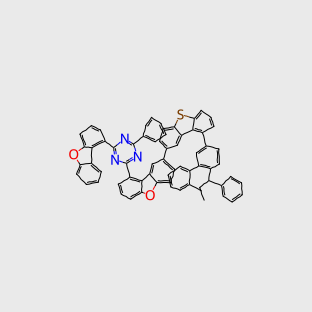 CCC(c1ccccc1)c1ccc(-c2cccc3sc4ccc(-c5ccc6oc7cccc(-c8nc(-c9ccccc9)nc(-c9cccc%10oc%11ccccc%11c9%10)n8)c7c6c5)cc4c23)cc1-c1ccccc1C